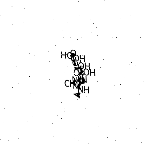 O=P(O)(O)COC[C@H]1O[C@@H](n2ncc3c(NC4CC4)nc(Cl)nc32)[C@H](O)[C@@H]1O